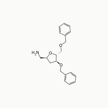 NC[C@@H]1C[C@H](OCc2ccccc2)[C@@H](COCc2ccccc2)O1